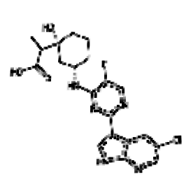 CC(C(=O)O)[C@@]1(O)CCC[C@H](Nc2nc(-c3c[nH]c4ncc(Cl)cc34)ncc2F)C1